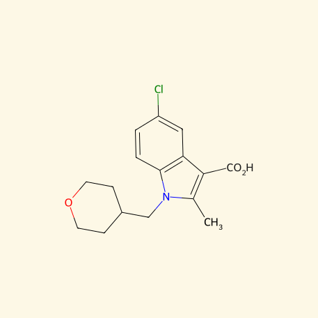 Cc1c(C(=O)O)c2cc(Cl)ccc2n1CC1CCOCC1